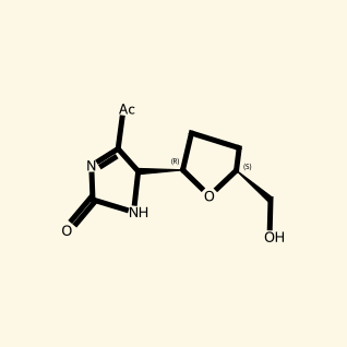 CC(=O)C1=NC(=O)NC1[C@H]1CC[C@@H](CO)O1